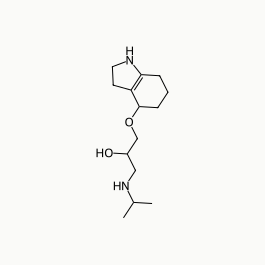 CC(C)NCC(O)COC1CCCC2=C1CCN2